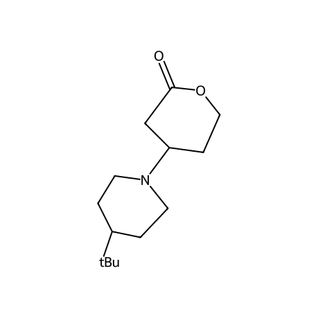 CC(C)(C)C1CCN(C2CCOC(=O)C2)CC1